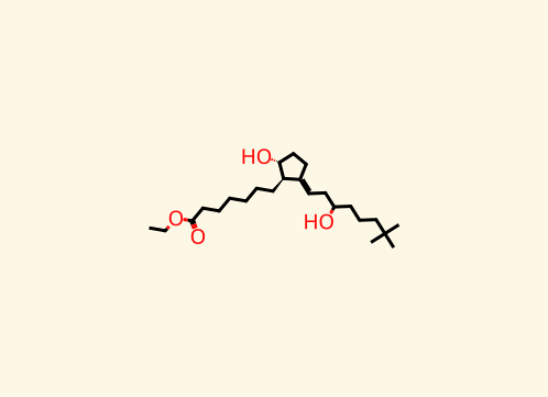 CCOC(=O)CCCCCC[C@@H]1C(=CCC(O)CCCC(C)(C)C)CC[C@H]1O